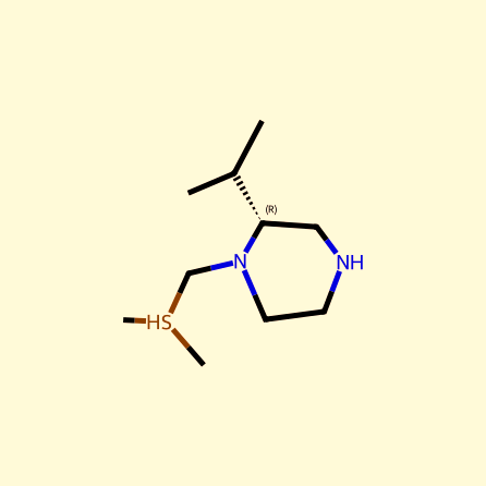 CC(C)[C@@H]1CNCCN1C[SH](C)C